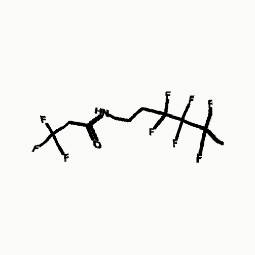 CC(F)(F)C(F)(F)C(F)(F)CCNC(=O)CC(F)(F)F